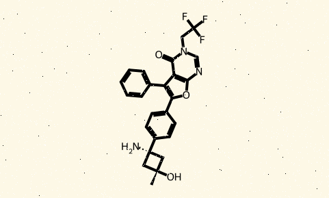 C[C@]1(O)C[C@](N)(c2ccc(-c3oc4ncn(CC(F)(F)F)c(=O)c4c3-c3ccccc3)cc2)C1